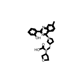 Cc1ccc2c(N3CC[C@H](CN(C(=O)O)[C@H]4CCOC4)C3)nc(-c3ccccc3O)nc2c1